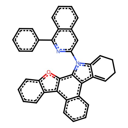 C1=c2c(n(-c3cc4ccccc4c(-c4ccccc4)n3)c3c4oc5ccccc5c4c4ccccc4c23)=CCC1